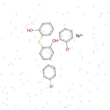 Oc1ccccc1Sc1ccccc1O.[Ni+2].[O-]c1ccccc1.[O-]c1ccccc1